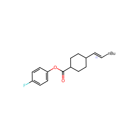 CCCC/C=C/C1CCC(C(=O)Oc2ccc(F)cc2)CC1